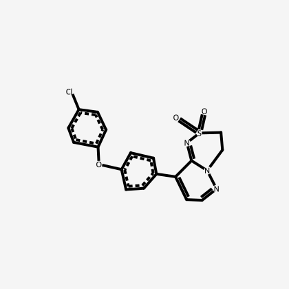 O=S1(=O)CCN2N=CC=C(c3ccc(Oc4ccc(Cl)cc4)cc3)C2=N1